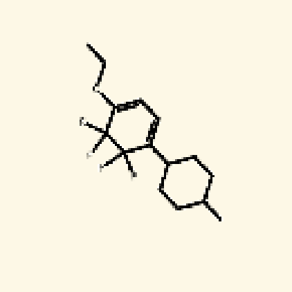 CCOC1=CC=C(C2CCC(C)CC2)C(F)(F)C1(F)F